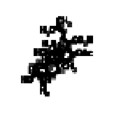 CC(=O)O[C@H]1C[C@@]2(C)[C@H](/C1=C(\CC=C(C)C)C(=O)O)[C@H](N)[C@@H](O)[C@H]1[C@@]3(C)CC[C@@H](O)[C@@H](N)[C@@H]3CC[C@@]12C